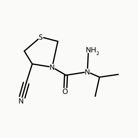 CC(C)N(N)C(=O)N1CSCC1C#N